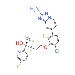 CC(O)(c1ccc(F)cn1)C(F)(F)CCOc1c(Cl)ccc(-c2ccn3nc(N)nc3c2)c1F